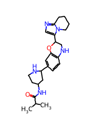 CC(C)C(=O)NC1CCNC(c2ccc3c(c2)OC(c2cnc4n2CCCC4)CN3)C1